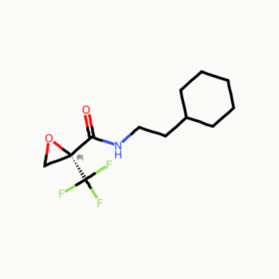 O=C(NCCC1CCCCC1)[C@@]1(C(F)(F)F)CO1